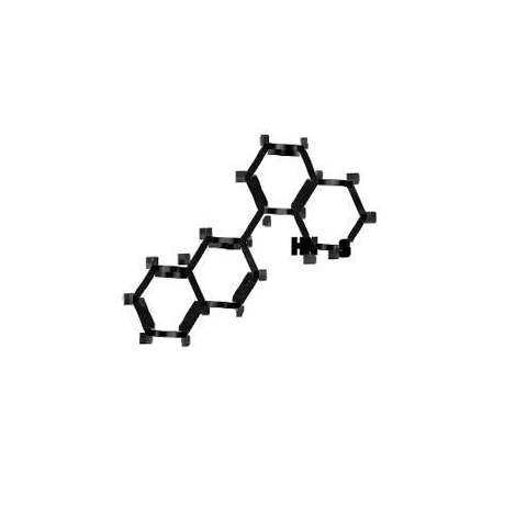 c1cc2c(c(-c3ccc4ccccc4c3)c1)NSCC2